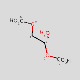 O.O=C(O)OCCOC(=O)O